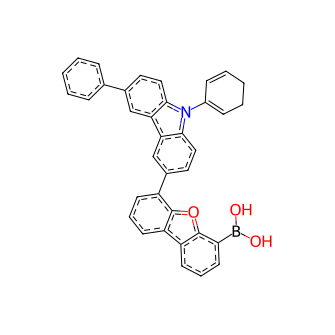 OB(O)c1cccc2c1oc1c(-c3ccc4c(c3)c3cc(-c5ccccc5)ccc3n4C3=CCCC=C3)cccc12